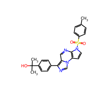 Cc1ccc(S(=O)(=O)n2ccc3c2ncc2c(-c4ccc(C(C)(C)O)cc4)ncn23)cc1